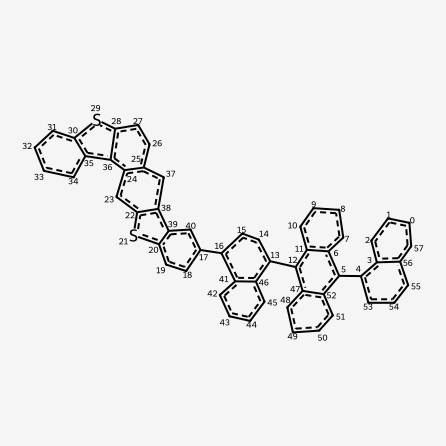 c1ccc2c(-c3c4ccccc4c(-c4ccc(-c5ccc6sc7cc8c(ccc9sc%10ccccc%10c98)cc7c6c5)c5ccccc45)c4ccccc34)cccc2c1